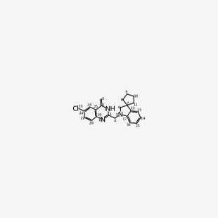 C=C1NC(CN2CC3(CCCC3)c3ccccc32)=Nc2ccc(Cl)cc21